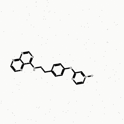 [O-][n+]1ccnc(Oc2ccc(CCNc3ncnc4nccnc34)cc2)c1